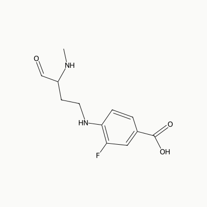 CNC(C=O)CCNc1ccc(C(=O)O)cc1F